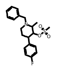 CC1C(OS(C)(=O)=O)C(c2ccc(F)cc2)CCN1Cc1ccccc1